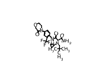 CC(C)(C)CN(C1CC1)[C@@H](C(N)=O)C(=O)Nc1ccc(N2CCOCC2=O)cc1C(F)(F)F